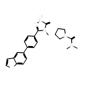 CN(C)C(=O)N1CC[C@@H](Cn2c(-c3ccc(-c4ccc5occc5c4)cc3)n[nH]c2=O)C1